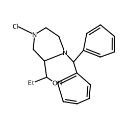 CCC(O)C1CN(Cl)CCN1C(c1ccccc1)c1ccccc1